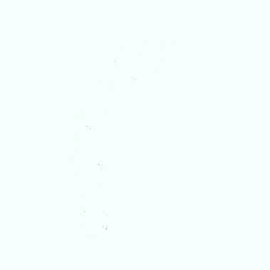 O=C1NC(=O)/C(=C\c2ccnc(N3CCC(CNCc4ccc(-c5ccc6[nH]ccc6c5)nc4)CC3)n2)S1